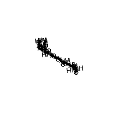 [N-]=[N+]=Nc1ccc(CN(CCOCCN)CC(=O)NCCOCCOCCNC(=O)CCCCC2SCC3NC(=O)NC32)cc1